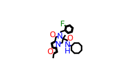 Cc1cc2c(cc3n2CC(C)(C(=O)NC2CCCCCCC2)N(Cc2ccccc2F)C3=O)o1